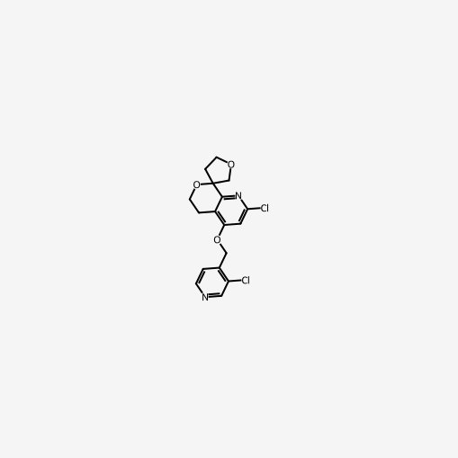 Clc1cc(OCc2ccncc2Cl)c2c(n1)C1(CCOC1)OCC2